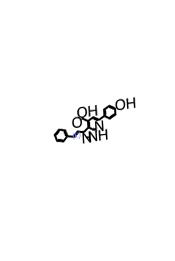 O=C(O)c1cc(-c2ccc(O)cc2)nc2[nH]nc(/C=C/c3ccccc3)c12